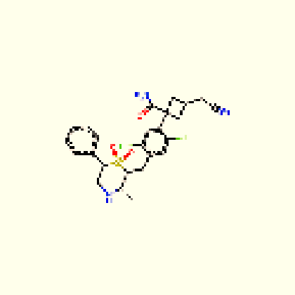 C[C@@H]1NC[C@@H](c2ccccc2)S(=O)(=O)C1Cc1cc(F)c(C2(C(N)=O)CC(CC#N)C2)cc1F